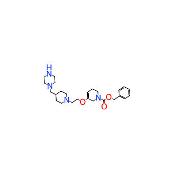 O=C(OCc1ccccc1)N1CCC=C(OCCN2CCC(CN3CCNCC3)CC2)C1